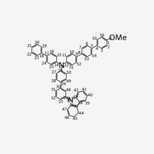 COc1ccc(-c2ccc(-c3ccc(N(c4ccc(-c5ccccc5)cc4)c4ccc(-c5cccc(-n6c7c(c8ccccc86)CCC=C7)c5)cc4)cc3)cc2)cc1